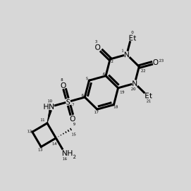 CCn1c(=O)c2cc(S(=O)(=O)N[C@@H]3CC[C@]3(C)N)ccc2n(CC)c1=O